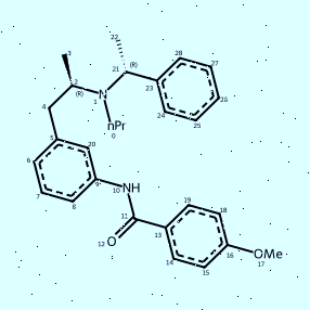 CCCN([C@H](C)Cc1cccc(NC(=O)c2ccc(OC)cc2)c1)[C@H](C)c1ccccc1